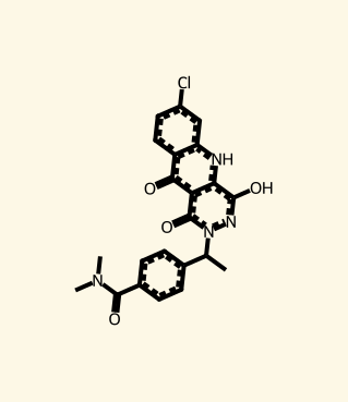 CC(c1ccc(C(=O)N(C)C)cc1)n1nc(O)c2[nH]c3cc(Cl)ccc3c(=O)c2c1=O